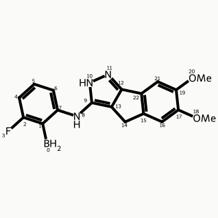 Bc1c(F)cccc1Nc1[nH]nc2c1Cc1cc(OC)c(OC)cc1-2